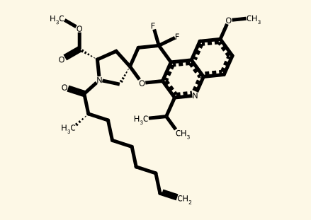 C=CCCCCC[C@H](C)C(=O)N1C[C@]2(C[C@H]1C(=O)OC)CC(F)(F)c1c(c(C(C)C)nc3ccc(OC)cc13)O2